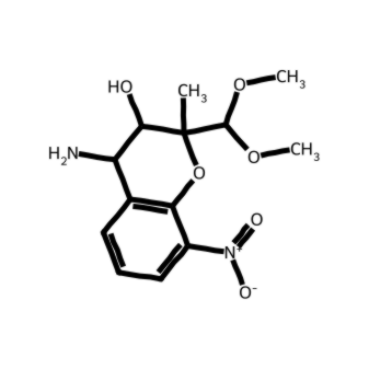 COC(OC)C1(C)Oc2c(cccc2[N+](=O)[O-])C(N)C1O